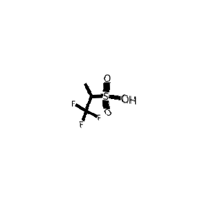 CC(C(F)(F)F)S(=O)(=O)O